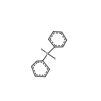 [I][Ti]([I])([c]1ccccc1)[c]1ccccc1